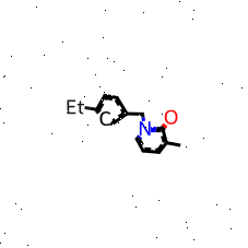 CCc1ccc(Cn2cccc(C)c2=O)cc1